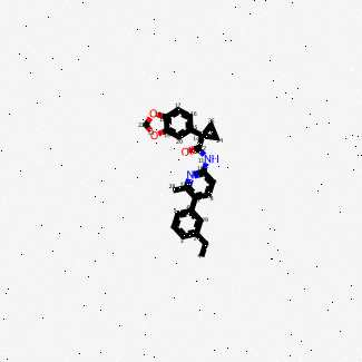 CCc1cccc(-c2ccc(NC(=O)C3(c4ccc5c(c4)OCO5)CC3)nc2C)c1